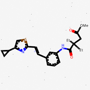 CCC(CC)(CC(=O)OC)C(=O)Nc1cccc(/C=C/c2nc(C3CC3)cs2)c1